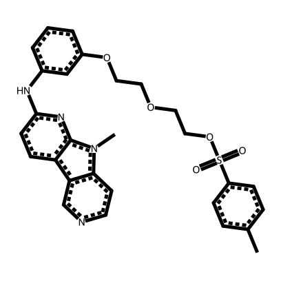 Cc1ccc(S(=O)(=O)OCCOCCOc2cccc(Nc3ccc4c5cnccc5n(C)c4n3)c2)cc1